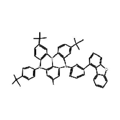 Cc1cc2c3c(c1)N(c1cccc(-c4cccc5oc6ccccc6c45)c1)c1cc(C(C)(C)C)ccc1B3c1cc(C(C)(C)C)ccc1N2c1ccc(C(C)(C)C)cc1